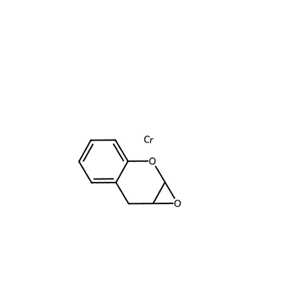 [Cr].c1ccc2c(c1)CC1OC1O2